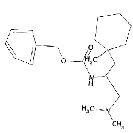 CN(C)CC(CC1(C)CCCCC1)NC(=O)OCc1ccccc1